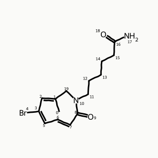 C\C1=C/C(Br)=C\C=C\C(=O)N(CCCCCC(N)=O)C1